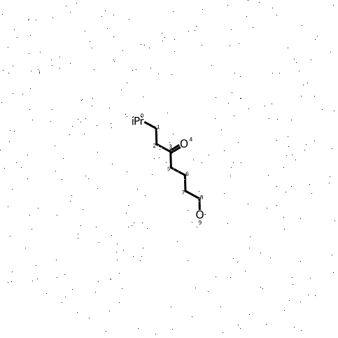 CC(C)CCC(=O)CCCC[O]